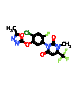 Cc1nnc(Oc2cc(-n3c(=O)cc(C(F)(F)F)n(C)c3=O)c(F)cc2Cl)o1